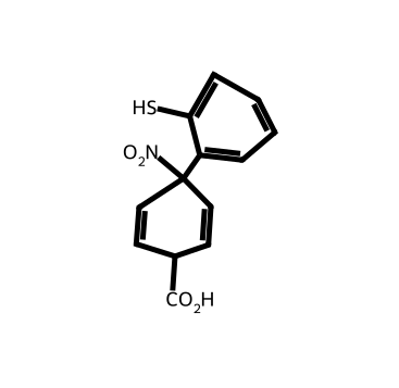 O=C(O)C1C=CC(c2ccccc2S)([N+](=O)[O-])C=C1